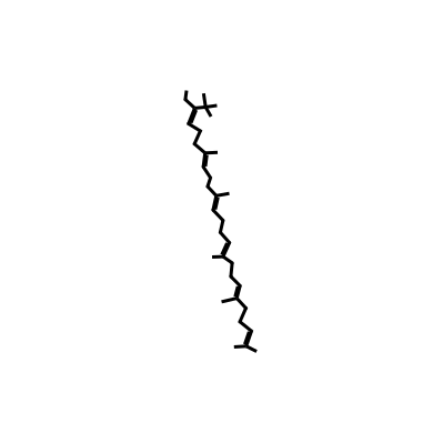 CCC(=CCC/C(C)=C/CC/C(C)=C/CC/C=C(\C)CC/C=C(\C)CCC=C(C)C)C(C)(C)C